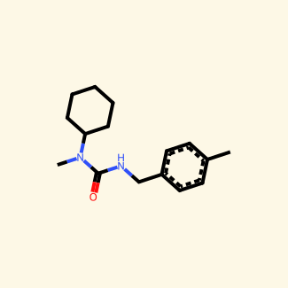 Cc1ccc(CNC(=O)N(C)C2CCCCC2)cc1